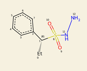 CC[C@H](c1ccccc1)S(=O)(=O)NN